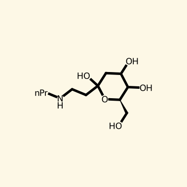 CCCNCCC1(O)CC(O)C(O)[C@@H](CO)O1